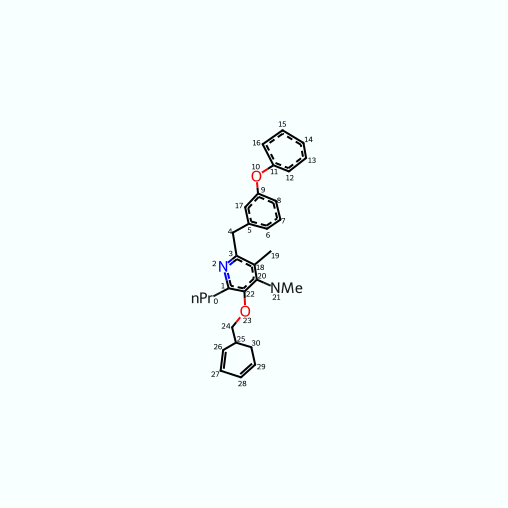 CCCc1nc(Cc2cccc(Oc3ccccc3)c2)c(C)c(NC)c1OCC1C=CC=CC1